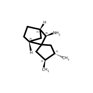 C[C@H]1CC2(C[C@@H]1C)[C@@H]1CC[C@@H](C1)[C@H]2N